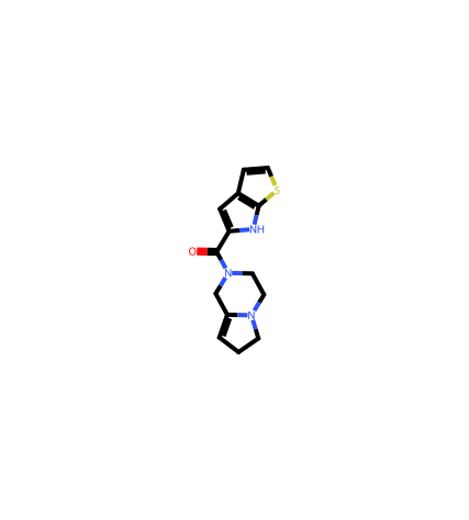 O=C(c1cc2ccsc2[nH]1)N1CCN2CCC=C2C1